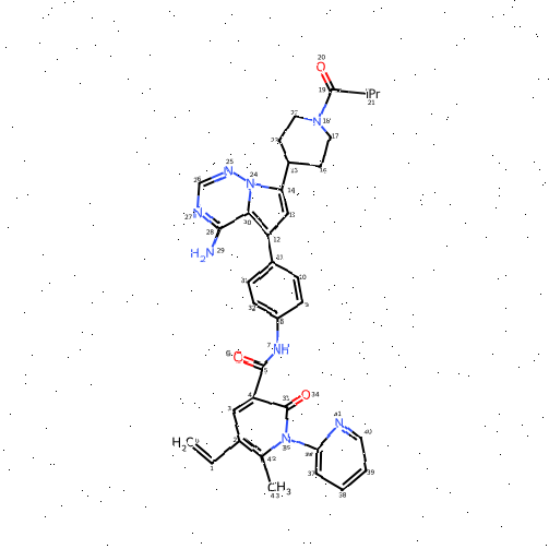 C=Cc1cc(C(=O)Nc2ccc(-c3cc(C4CCN(C(=O)C(C)C)CC4)n4ncnc(N)c34)cc2)c(=O)n(-c2ccccn2)c1C